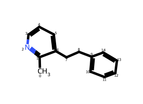 Cc1ncccc1CCc1ccccc1